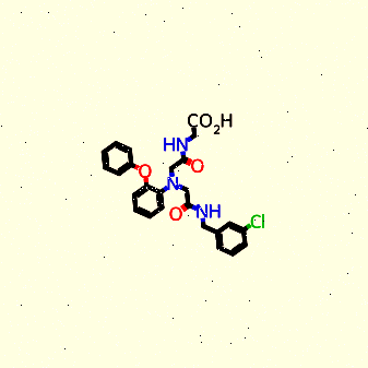 O=C(O)CNC(=O)CN(CC(=O)NCc1cccc(Cl)c1)c1ccccc1Oc1ccccc1